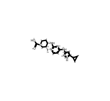 O=C(O)N1CC[C@H](Nc2nccc(Nc3cc(C4CC4)[nH]n3)n2)[C@H](F)C1